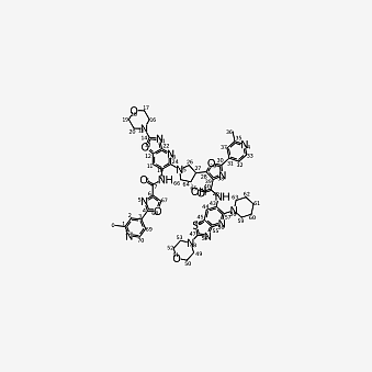 Cc1cc(-c2nc(C(=O)Nc3cc4oc(N5CCOCC5)nc4nc3N3CC(c4oc(-c5ccnc(C)c5)nc4C(=O)Nc4cc5sc(N6CCOCC6)nc5nc4N4CCCCC4)[C@H](O)C3)co2)ccn1